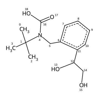 CC(C)(C)N(Cc1ccccc1C(O)CO)C(=O)O